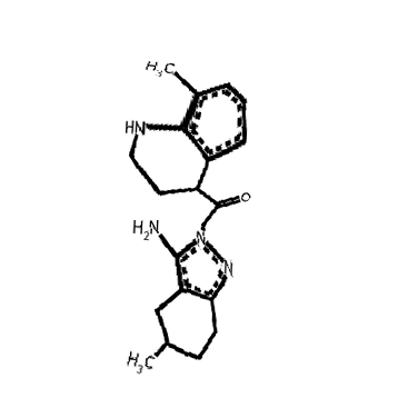 Cc1cccc2c1NCCC2C(=O)n1nc2c(c1N)CC(C)CC2